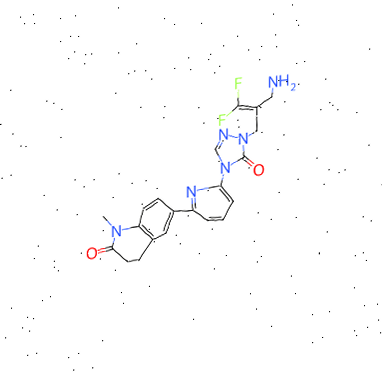 CN1C(=O)CCc2cc(-c3cccc(-n4cnn(CC(CN)=C(F)F)c4=O)n3)ccc21